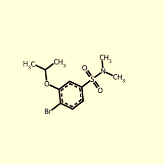 CC(C)Oc1cc(S(=O)(=O)N(C)C)ccc1Br